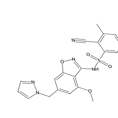 COc1cc(Cn2cccn2)cc2onc(NS(=O)(=O)c3cccc(C)c3C#N)c12